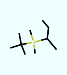 CCC(C)S(C)(C)C(C)(C)C